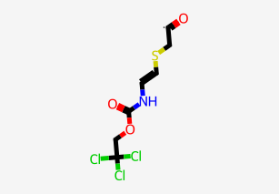 O=[C]CSC=CNC(=O)OCC(Cl)(Cl)Cl